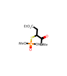 CCOC(=O)CC(SP(=O)(OC)OC)C(=O)OC